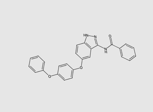 O=C(Nc1n[nH]c2ccc(Oc3ccc(Oc4ccccc4)cc3)cc12)c1ccccc1